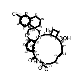 C[C@@]12CC[C@@H]1CN1C[C@@]3(CCCc4cc(Cl)ccc43)COc3ccc(cc31)C(=O)NS(=O)(=O)CC/C=C/C[C@@H]2O